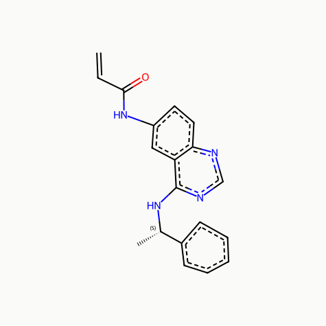 C=CC(=O)Nc1ccc2ncnc(N[C@@H](C)c3ccccc3)c2c1